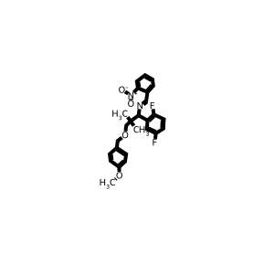 COc1ccc(COCC(C)(C)C(N=Cc2ccccc2[N+](=O)[O-])c2cc(F)ccc2F)cc1